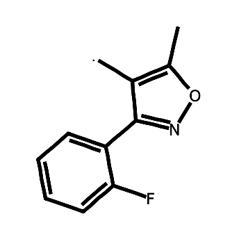 [CH2]c1c(-c2ccccc2F)noc1C